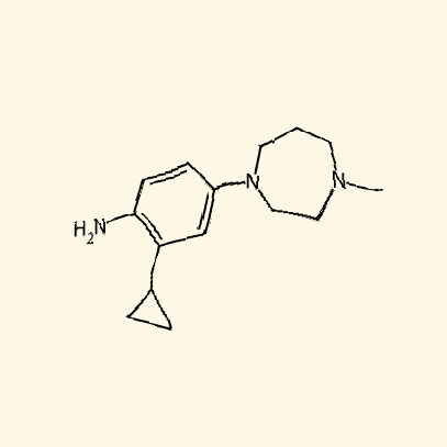 CN1CCCN(c2ccc(N)c(C3CC3)c2)CC1